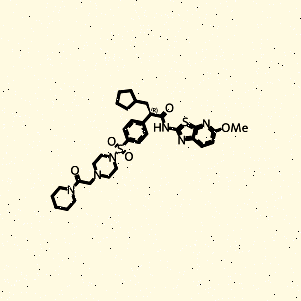 COc1ccc2nc(NC(=O)[C@H](CC3CCCC3)c3ccc(S(=O)(=O)N4CCN(CC(=O)N5CCCCC5)CC4)cc3)sc2n1